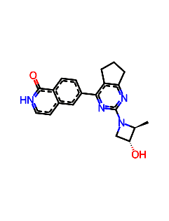 C[C@H]1[C@H](O)CN1c1nc2c(c(-c3ccc4c(=O)[nH]ccc4c3)n1)CCC2